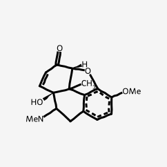 CNC1Cc2ccc(OC)c3c2C2(C)[C@@H](O3)C(=O)C=C[C@@]12O